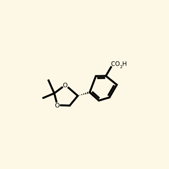 CC1(C)OC[C@@H](c2cccc(C(=O)O)c2)O1